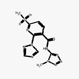 Cn1nnnc1NC(=O)c1ccc(S(C)(=O)=O)nc1-n1cncn1